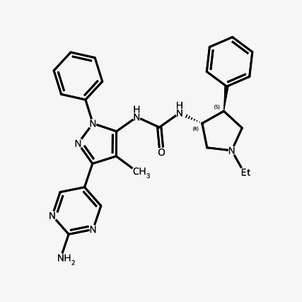 CCN1C[C@H](NC(=O)Nc2c(C)c(-c3cnc(N)nc3)nn2-c2ccccc2)[C@@H](c2ccccc2)C1